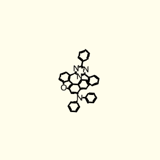 c1ccc(-c2nc(-c3ccccc3)nc(-c3cccc4oc5cc(N(c6ccccc6)c6ccccc6)c6ccccc6c5c34)n2)cc1